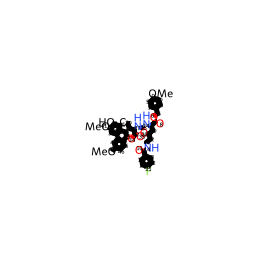 COc1ccc(COC(=O)C(CCCCNC(=O)c2ccc(F)cc2)NC(=O)NC(CCC(=O)O)C(=O)OC(Cc2ccc(OC)cc2)c2ccc(OC)cc2)cc1